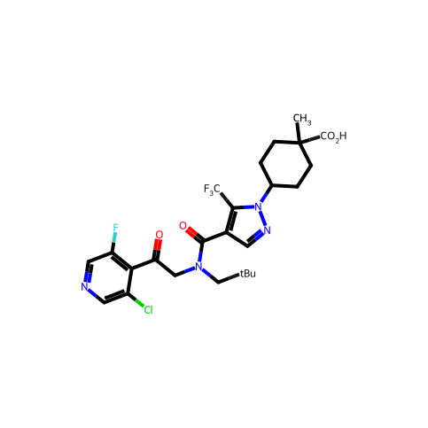 CC(C)(C)CN(CC(=O)c1c(F)cncc1Cl)C(=O)c1cnn(C2CCC(C)(C(=O)O)CC2)c1C(F)(F)F